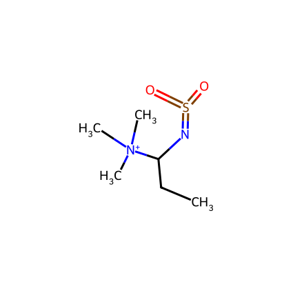 CCC(N=S(=O)=O)[N+](C)(C)C